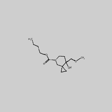 CCCCOC(=O)N1CCC(O)(CSC)C2(CC2)C1